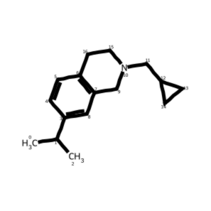 CC(C)c1ccc2c(c1)CN(CC1CC1)CC2